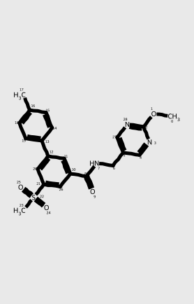 COc1ncc(CNC(=O)c2cc(-c3ccc(C)cc3)cc(S(C)(=O)=O)c2)cn1